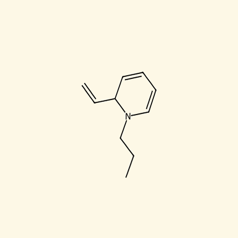 C=CC1C=CC=CN1CCC